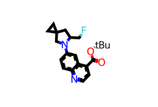 CC(C)(C)OC(=O)c1ccnc2ccc(N3CC4(CC4)CC3CF)cc12